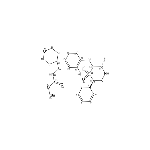 C[C@@H]1NC[C@@H](c2ccccc2)S(=O)(=O)C1Cc1ccc(C2(CNC(=O)OC(C)(C)C)CCOCC2)cc1F